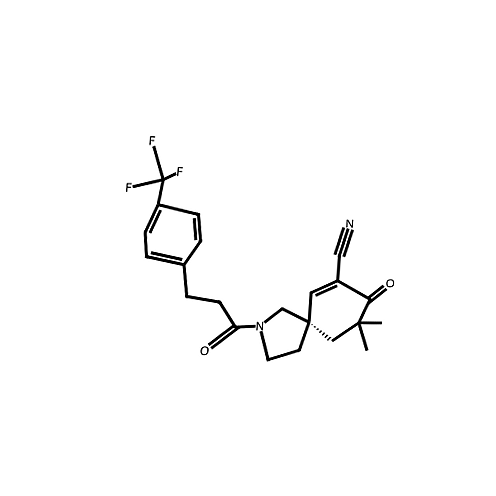 CC1(C)C[C@]2(C=C(C#N)C1=O)CCN(C(=O)CCc1ccc(C(F)(F)F)cc1)C2